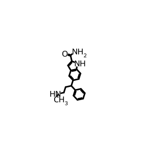 CNCCC(c1ccccc1)c1ccc2[nH]c(C(N)=O)cc2c1